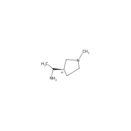 CC(N)[C@@H]1CCN(C)C1